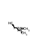 C#CCCCN(C)NC